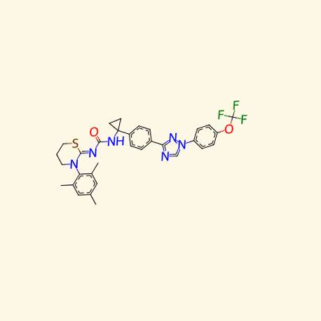 Cc1cc(C)c(N2CCCS/C2=N\C(=O)NC2(c3ccc(-c4ncn(-c5ccc(OC(F)(F)F)cc5)n4)cc3)CC2)c(C)c1